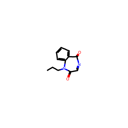 CCCn1c(=O)cnc(=O)c2ccccc21